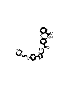 O=C(NCc1cnc(-c2ccc(OCCN3CCOCC3)cc2)s1)c1ccc2c(c1)NC(=O)c1ccccc1S2